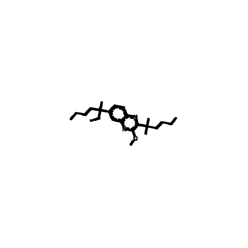 CCCCC(C)(C)c1nc2ccc(C(C)(CC)CCCC)cc2nc1OC